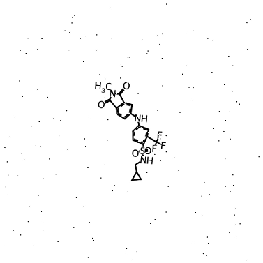 CN1C(=O)c2ccc(Nc3ccc(S(=O)(=O)NCC4CC4)c(C(F)(F)F)c3)cc2C1=O